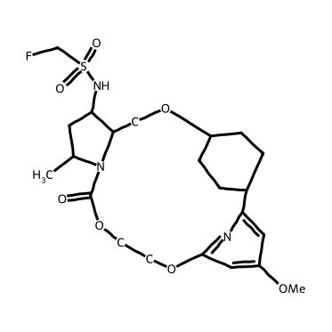 COc1cc2nc(c1)C1CCC(CC1)OCC1C(NS(=O)(=O)CF)CC(C)N1C(=O)OCCO2